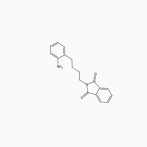 Nc1ccccc1CCCCN1C(=O)c2ccccc2C1=O